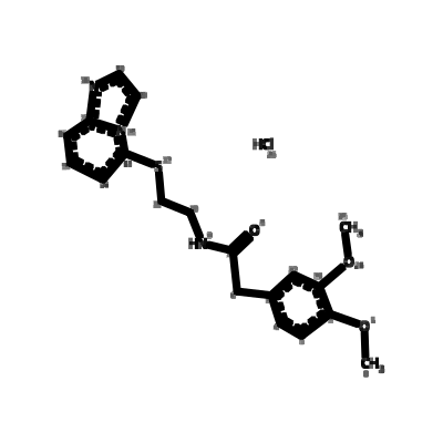 COc1ccc(CC(=O)NCCSc2cccc3nccn23)cc1OC.Cl